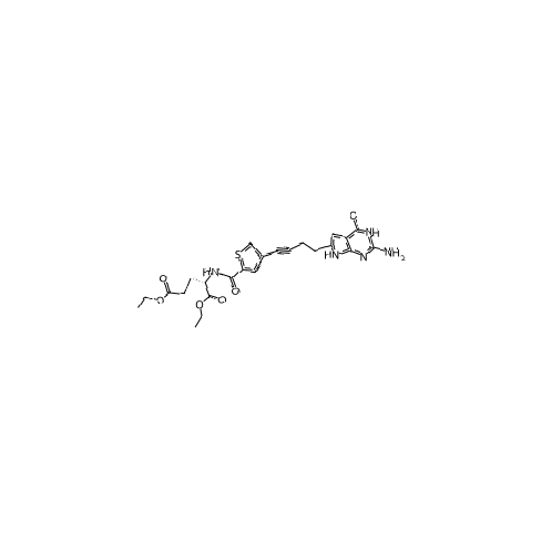 CCOC(=O)CC[C@H](NC(=O)c1cc(C#CCCc2cc3c(=O)[nH]c(N)nc3[nH]2)cs1)C(=O)OCC